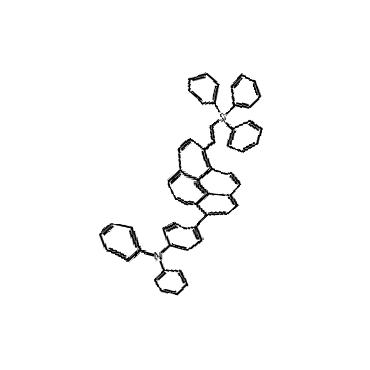 C(=C\[Si](c1ccccc1)(c1ccccc1)c1ccccc1)/c1ccc2ccc3c(-c4ccc(N(c5ccccc5)c5ccccc5)cc4)ccc4ccc1c2c43